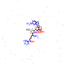 N=C(N)N(O)CCCC(N)C(=O)NC(C(=O)O)[C@H]1O[C@@H](n2cnc3cnc(N)nc32)[C@@H]2OC[C@H](O)[C@]2(O)[C@@H]1O